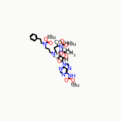 CC(C)(C)OC(=O)Nc1ncnc2c1ncn2[C@@H]1O[C@H](CN(CCCN(CCc2ccccc2)C(=O)OC(C)(C)C)CCC(NC(=O)OC(C)(C)C)C(=O)O)[C@H]2OC(C)(C)O[C@H]21